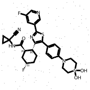 N#CC1(NC(=O)[C@@H]2C[C@@H](F)CC[C@H]2c2nc(-c3cncc(F)c3)sc2-c2ccc(N3CCS(O)(O)CC3)cc2)CC1